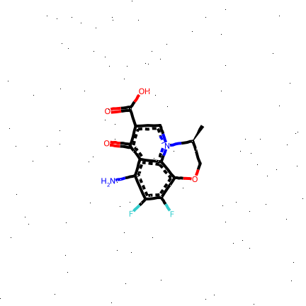 C[C@H]1COc2c(F)c(F)c(N)c3c(=O)c(C(=O)O)cn1c23